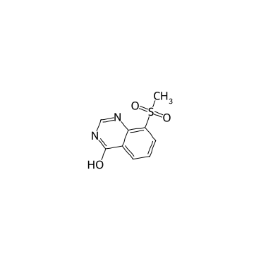 CS(=O)(=O)c1cccc2c(O)ncnc12